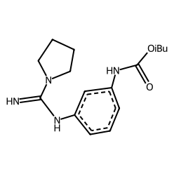 CC(C)COC(=O)Nc1cccc(NC(=N)N2CCCC2)c1